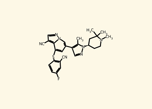 Cc1c(-c2cc(Sc3ccc(F)cc3C#N)c3c(C#N)cnn3c2)cnn1[C@@H]1CCN(C)C(C)(C)C1